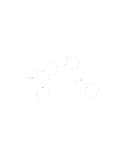 Cc1ccc(NC(=N)c2ccnc(C(F)(F)F)c2)cc1-c1ccc2c(c1)OC1(CCOCC1)CC(=O)N2